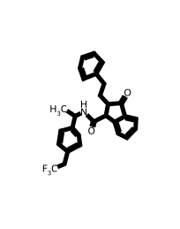 CC(NC(=O)C1c2ccccc2C(=O)C1CCc1ccccc1)c1ccc(CC(F)(F)F)cc1